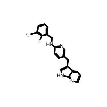 Fc1c(Cl)cccc1CNc1ccc(Cc2c[nH]c3ncccc23)cn1